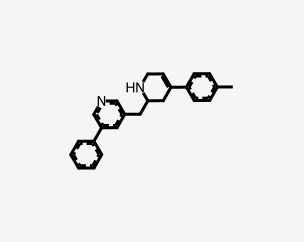 Cc1ccc(C2=CCNC(Cc3cncc(-c4ccccc4)c3)C2)cc1